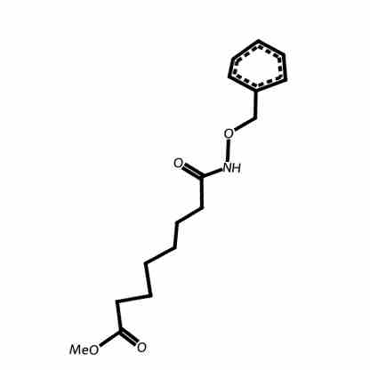 COC(=O)CCCCCCC(=O)NOCc1ccccc1